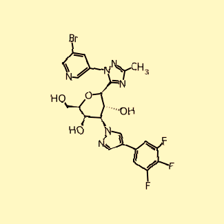 Cc1nc([C@@H]2O[C@H](CO)[C@H](O)[C@H](n3cc(-c4cc(F)c(F)c(F)c4)cn3)[C@H]2O)n(-c2cncc(Br)c2)n1